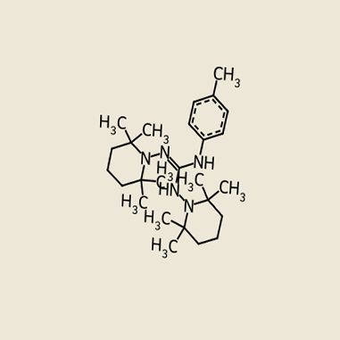 Cc1ccc(NC(=NN2C(C)(C)CCCC2(C)C)NN2C(C)(C)CCCC2(C)C)cc1